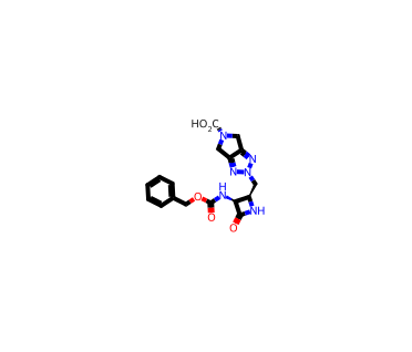 O=C(N[C@@H]1C(=O)N[C@@H]1Cn1nc2c(n1)CN(C(=O)O)C2)OCc1ccccc1